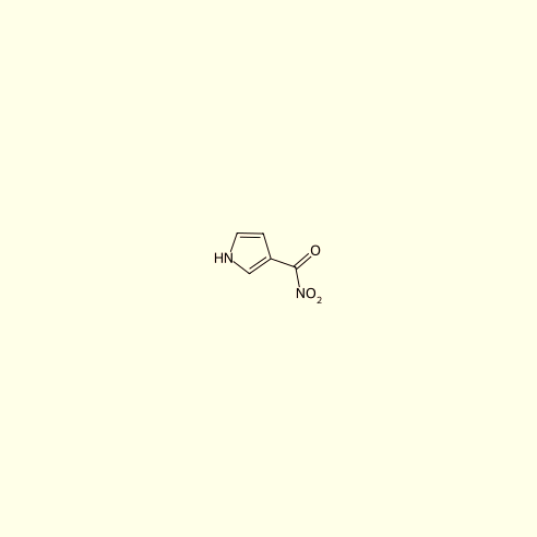 O=C(c1cc[nH]c1)[N+](=O)[O-]